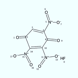 F.O=C1C=C([N+](=O)[O-])C(=O)C([N+](=O)[O-])=C1[N+](=O)[O-]